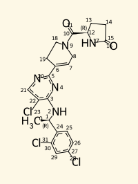 C[C@@H](Nc1nc(C2=CCN(C(=O)[C@H]3CCC(=O)N3)CC2)ncc1Cl)c1ccc(Cl)cc1Cl